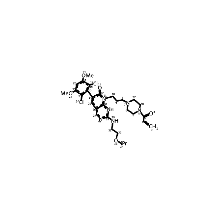 C=CC(=O)N1CCN(CCCn2c(=O)c(-c3c(Cl)c(OC)cc(OC)c3Cl)cc3cnc(NCCOC(C)C)nc32)CC1